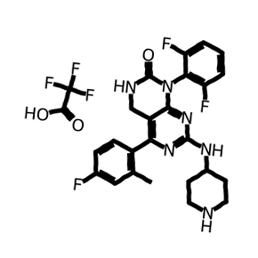 Cc1cc(F)ccc1-c1nc(NC2CCNCC2)nc2c1CNC(=O)N2c1c(F)cccc1F.O=C(O)C(F)(F)F